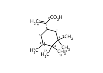 C=CC(=O)O.CN1CCCC(C)(C)C1(C)C